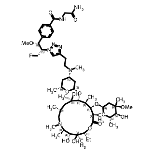 CC[C@H]1OC(=O)[C@H](C)[C@@H](O[C@H]2C[C@@](C)(OC)[C@@H](O)[C@H](C)O2)[C@H](C)[C@@H](O[C@H]2C[C@@H](N(C)CCc3cn([C@H](CF)[C@H](OC)c4ccc(C(=O)NCC(N)=O)cc4)nn3)C[C@@H](C)O2)[C@](C)(O)C[C@@H](C)CN(C)[C@H](C)[C@@H](O)[C@]1(C)O